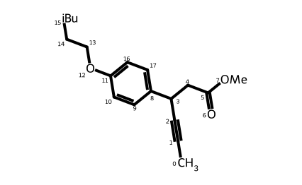 CC#CC(CC(=O)OC)c1ccc(OCCC(C)CC)cc1